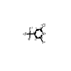 FC(F)(F)c1cc(Cl)nc(I)c1